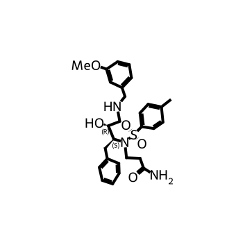 COc1cccc(CNC[C@@H](O)[C@H](Cc2ccccc2)N(CCC(N)=O)S(=O)(=O)c2ccc(C)cc2)c1